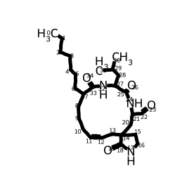 CCCCCCCC1CCCC=CCC2(CCNC2=O)CC(C=O)NC(=O)C(CC(C)C)NC1=O